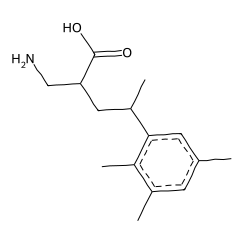 Cc1cc(C)c(C)c(C(C)CC(CN)C(=O)O)c1